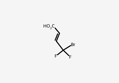 O=C(O)/C=C/C(F)(F)Br